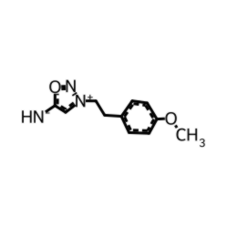 COc1ccc(CC[n+]2cc([NH-])on2)cc1